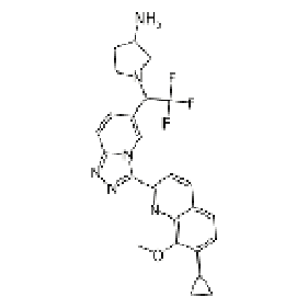 COc1c(C2CC2)ccc2ccc(-c3nnc4ccc([C@@H](N5CCC(N)C5)C(F)(F)F)cn34)nc12